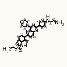 CCCS(=O)(=O)Nc1cccc(-c2ccc3nc(-c4ccc(NCCN)nc4)nc(N4CCOCC4)c3n2)c1F